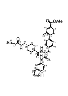 COC(=O)c1ccc(-c2ccc(C[C@H](NC(=O)[C@H]3CC[C@H](CNC(=O)OC(C)(C)C)CC3)C(=O)Nc3ccc4[nH]nnc4c3)cc2)c(C)c1